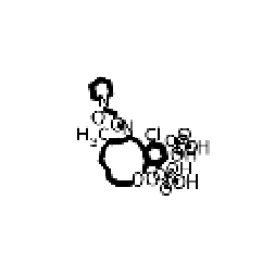 C/C1=C\C(=N/OCC(=O)N2CCCCC2)Cc2c(Cl)c(OP(=O)(O)O)cc(OP(=O)(O)O)c2C(=O)OCC/C=C/CC1